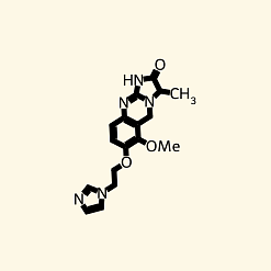 COc1c(OCCn2ccnc2)ccc2c1CN1C(=N2)NC(=O)C1C